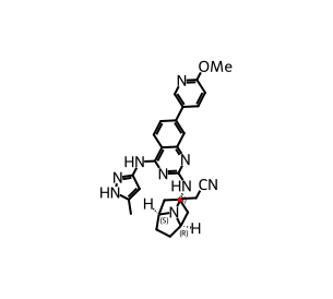 COc1ccc(-c2ccc3c(Nc4cc(C)[nH]n4)nc(N[C@@H]4C[C@H]5CC[C@@H](C4)N5CCC#N)nc3c2)cn1